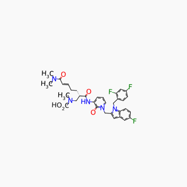 CN(C)C(=O)/C=C/CC[C@@H](CN(C)C(=O)O)C(=O)Nc1cccn(Cc2cc3cc(F)ccc3n2Cc2ccc(F)cc2F)c1=O